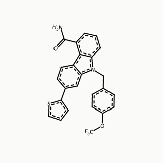 NC(=O)c1cccc2c1c1[c]cc(-c3cccs3)cc1n2Cc1ccc(OC(F)(F)F)cc1